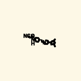 Cc1cc(C)cc(C2=CCN(CC[C@H]3CC[C@H](NC(=O)CC#N)CC3)CC2)c1